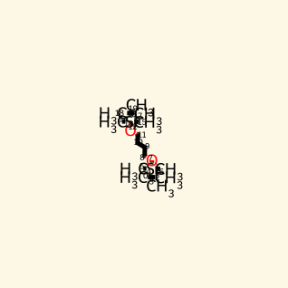 CC(C)(C)[Si](C)(C)OCCCCO[Si](C)(C)C(C)(C)C